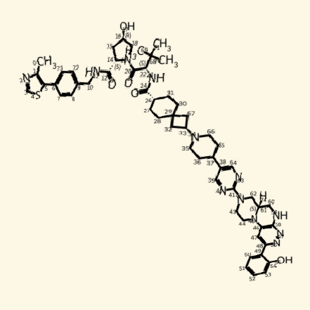 Cc1ncsc1-c1ccc(CNC(=O)[C@@H]2C[C@@H](O)CN2C(=O)[C@@H](NC(=O)[C@H]2CCC3(CC2)C[C@H](N2CCC(c4cnc(N5CCN6c7cc(-c8ccccc8O)nnc7NC[C@H]6C5)nc4)CC2)C3)C(C)(C)C)cc1